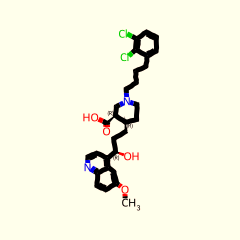 COc1ccc2nccc([C@H](O)CC[C@@H]3CCN(CCCCc4cccc(Cl)c4Cl)C[C@@H]3C(=O)O)c2c1